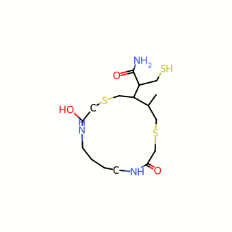 CC1CSCC(=O)NCCCCNC(O)CSCC1C(CS)C(N)=O